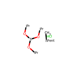 CC(C)[O][Ti]([O]C(C)C)[O]C(C)C.CCCCCC.Cl